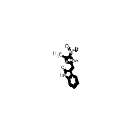 Cc1nc(C=C2C(=O)Nc3ccccc32)[nH]c1[N+](=O)[O-]